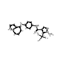 Cn1ncc(C(=O)Nc2ccc(Oc3cccn4nccc34)cc2)c1C(F)(F)F